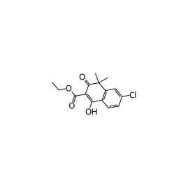 CCOC(=O)C1=C(O)c2ccc(Cl)cc2C(C)(C)C1=O